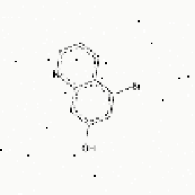 Oc1cc(Br)c2cccnc2c1